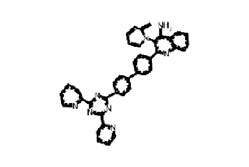 C=C1C=CC=CN1c1c(-c2ccc(-c3ccc(-c4nc(-c5ccccn5)nc(-c5ccccn5)n4)cc3)cc2)nc2ccccc2c1N